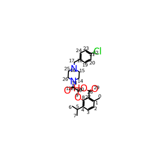 Cc1ccc(C(C)C)c(OCC(=O)N2CCN(Cc3ccc(Cl)cc3)CC2)c1C(=O)O